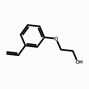 C=[C]c1cccc(OCCO)c1